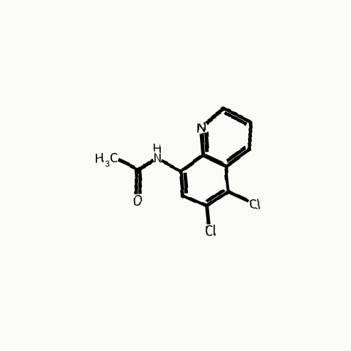 CC(=O)Nc1cc(Cl)c(Cl)c2cccnc12